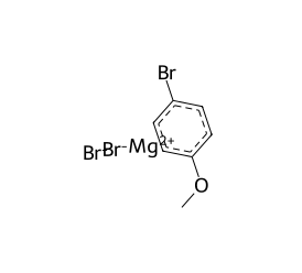 COc1ccc(Br)cc1.[Br-].[Br-].[Mg+2]